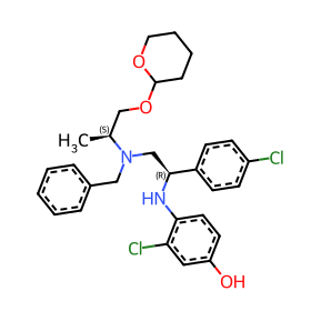 C[C@@H](COC1CCCCO1)N(Cc1ccccc1)C[C@H](Nc1ccc(O)cc1Cl)c1ccc(Cl)cc1